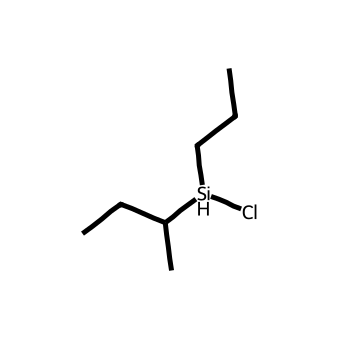 CCC[SiH](Cl)C(C)CC